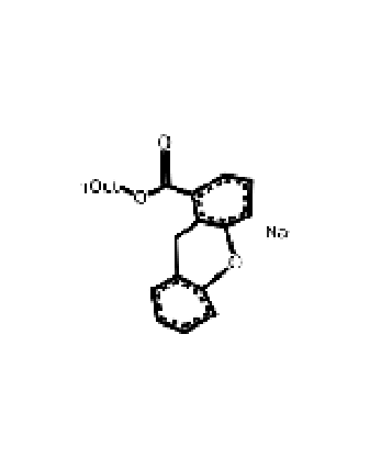 CCCCCCCCOC(=O)c1cccc2c1Cc1ccccc1O2.[Na]